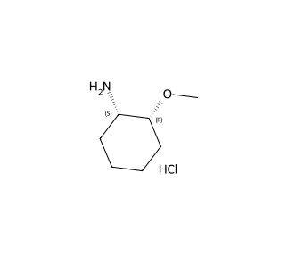 CO[C@@H]1CCCC[C@@H]1N.Cl